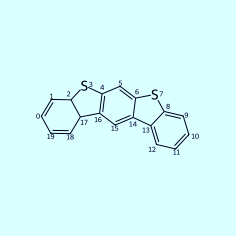 C1=CC2Sc3cc4sc5ccccc5c4cc3C2C=C1